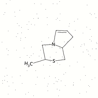 CC1CN2C=CCC2CS1